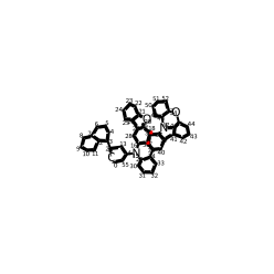 c1cc(-c2cccc3ccccc23)cc(N(c2ccc3oc4ccccc4c3c2)c2ccccc2-c2ccc3c(c2)c2cccc4c2n3-c2ccccc2O4)c1